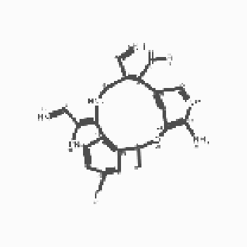 CCN/C1=C(\C=N)CN/C(=C(/C#N)C=N)c2ccc(F)cc2C(C)Oc2cc1cnc2N